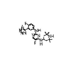 Cn1nnnc1-c1cc(Nc2ncc(F)c(NC3CC(C)(C)NC(C)(C)C3)n2)ccc1F